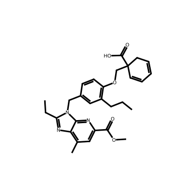 CCCc1cc(Cn2c(CC)nc3c(C)cc(C(=O)OC)nc32)ccc1OCC1(C(=O)O)C=CC=CC1